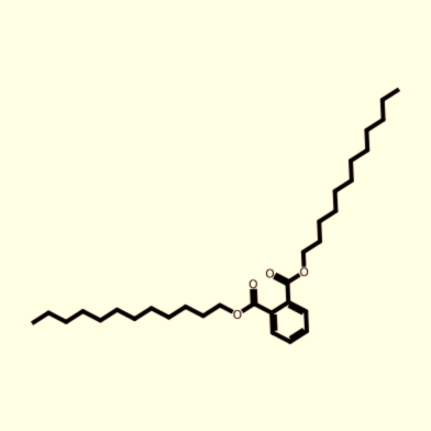 CCCCCCCCCCCCOC(=O)c1ccccc1C(=O)OCCCCCCCCCCCC